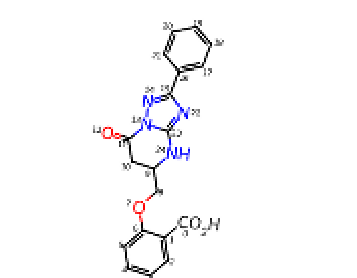 O=C(O)c1ccccc1OCC1CC(=O)n2nc(-c3ccccc3)nc2N1